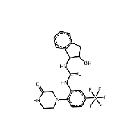 O=C1CN(c2ccc(S(F)(F)(F)(F)F)cc2NC(=O)NC2c3ccccc3CC2O)CCN1